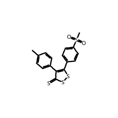 Cc1ccc(-c2c(-c3ccc(S(C)(=O)=O)cc3)ssc2=S)cc1